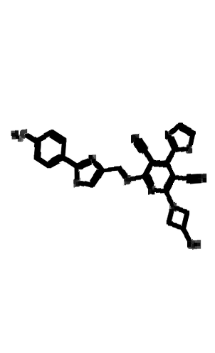 Cc1ccc(-c2nc(CSc3nc(N4CC(O)C4)c(C#N)c(-c4nccs4)c3C#N)cs2)cc1